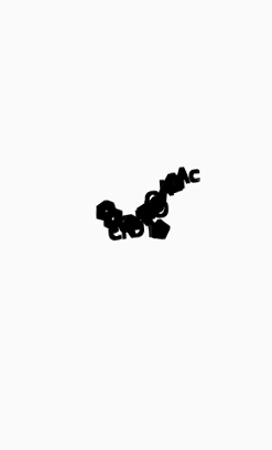 CC(=O)N1CCN(CCS(=O)(=O)N2CCN(C(=O)COc3cc4ccccc4cc3C#N)[C@@H](CN3CCCC3)C2)CC1